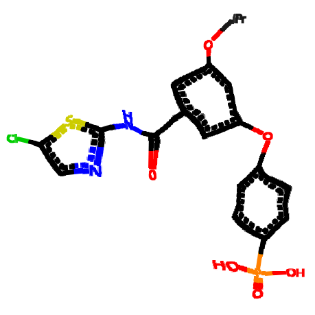 CC(C)Oc1cc(Oc2ccc(P(=O)(O)O)cc2)cc(C(=O)Nc2ncc(Cl)s2)c1